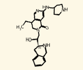 CCC1CN(CC(O)[C@@H]2Cc3ccccc3CN2)C(=O)c2cc(NC3CCNCC3)ncc21